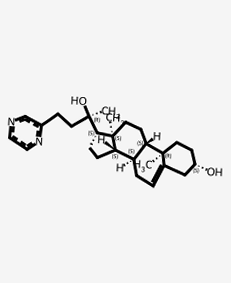 C[C@]12CC[C@H]3[C@@H](CC=C4C[C@@H](O)CC[C@@]43C)[C@@H]1CC[C@@H]2[C@](C)(O)CCc1cnccn1